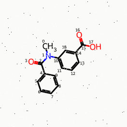 CN(C(=O)c1ccccc1)c1cccc(C(=O)O)c1